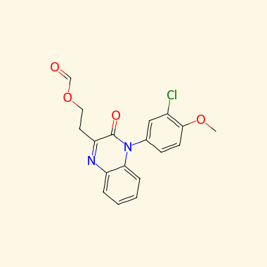 COc1ccc(-n2c(=O)c(CCOC=O)nc3ccccc32)cc1Cl